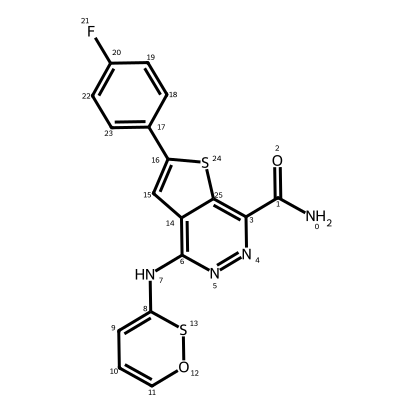 NC(=O)c1nnc(NC2=CC=COS2)c2cc(-c3ccc(F)cc3)sc12